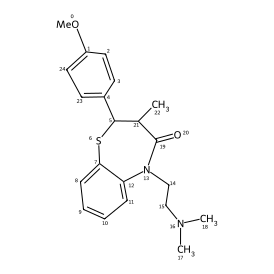 COc1ccc(C2Sc3ccccc3N(CCN(C)C)C(=O)C2C)cc1